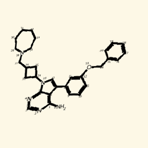 Nc1ncnc2c1c(-c1cccc(OCc3ccccc3)c1)cn2C1CC(CN2CCCCCC2)C1